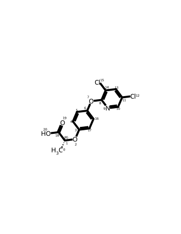 C[C@@H](Oc1ccc(Oc2ncc(Cl)cc2Cl)cc1)C(=O)O